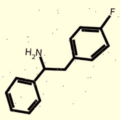 NC(Cc1ccc(F)cc1)c1ccccc1